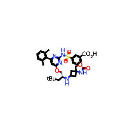 Cc1cccc(C)c1-c1cc(OC[C@@H](CC(C)(C)C)NC2CC3(COC(=O)N3)C2)nc(NS(=O)(=O)c2cccc(C(=O)O)c2)n1